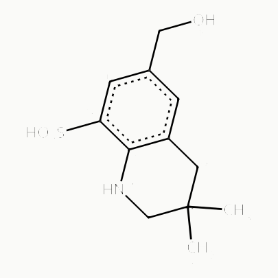 CC1(C)CNc2c(cc(CO)cc2S(=O)(=O)O)C1